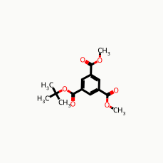 COC(=O)c1cc(C(=O)OC)cc(C(=O)OC(C)(C)C)c1